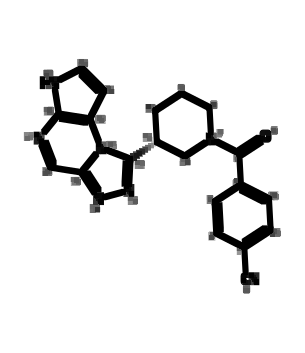 N#Cc1ccc(C(=O)N2CCC[C@@H](c3nnc4cnc5[nH]ccc5n34)C2)cc1